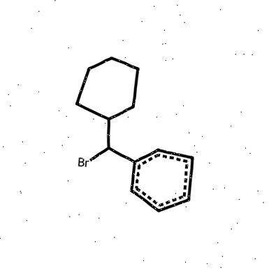 BrC(c1ccccc1)C1CCCCC1